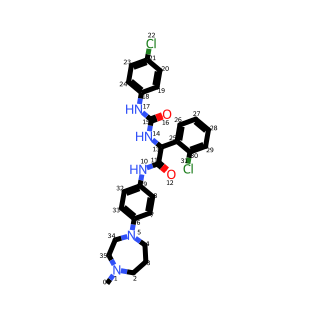 CN1CCCN(c2ccc(NC(=O)C(NC(=O)Nc3ccc(Cl)cc3)c3ccccc3Cl)cc2)CC1